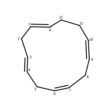 [C]1=C/C/C=C/C/C=C\C/C=C\CC/1